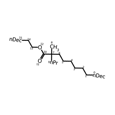 CCCCCCCCCCCCCCCCC(C)(CCC)C(=O)OCCCCCCCCCCCC